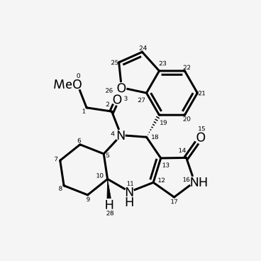 COCC(=O)N1C2CCCC[C@H]2NC2=C(C(=O)NC2)[C@H]1c1cccc2ccoc12